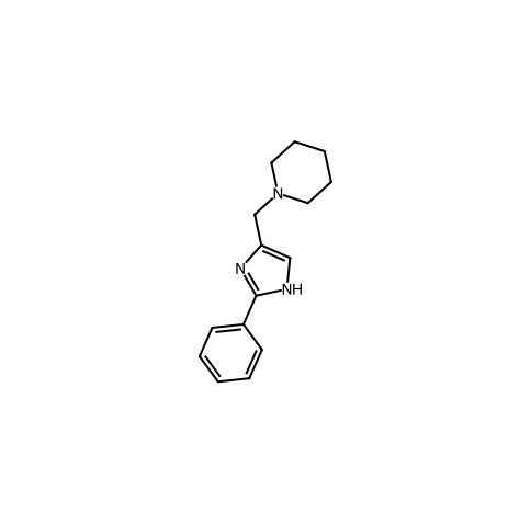 c1ccc(-c2nc(CN3CCCCC3)c[nH]2)cc1